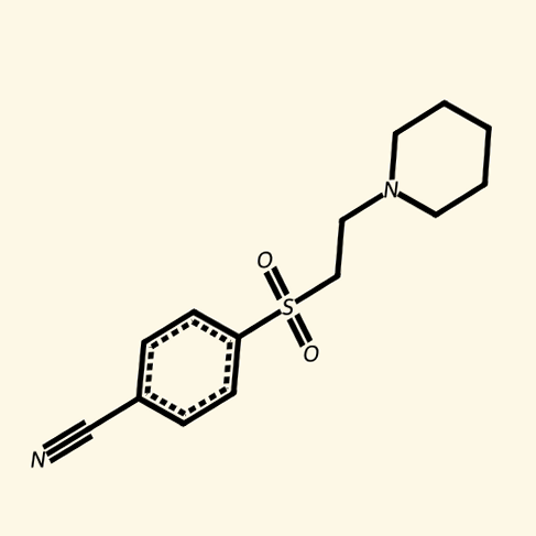 N#Cc1ccc(S(=O)(=O)CCN2CCCCC2)cc1